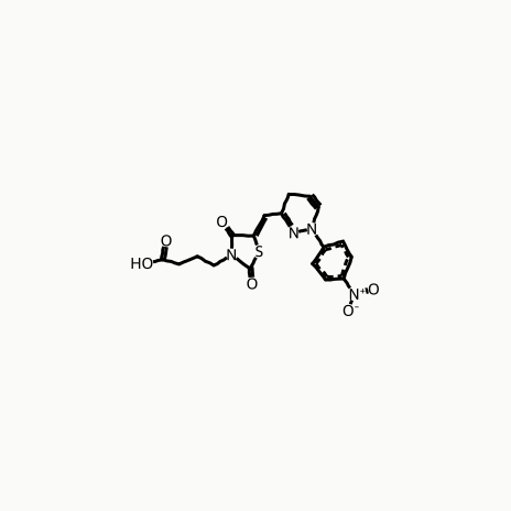 O=C(O)CCCN1C(=O)S/C(=C\C2=NN(c3ccc([N+](=O)[O-])cc3)C#CC2)C1=O